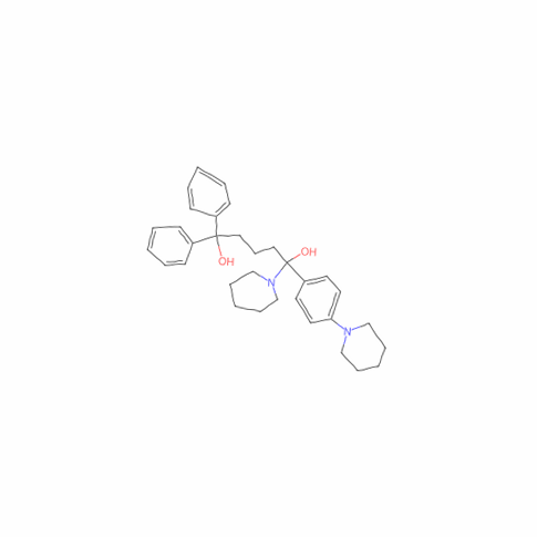 OC(CCCC(O)(c1ccc(N2CCCCC2)cc1)N1CCCCC1)(c1ccccc1)c1ccccc1